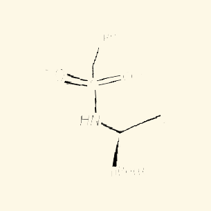 CCCCC[C@H](C)NS(=O)(=O)C(C)(C)C